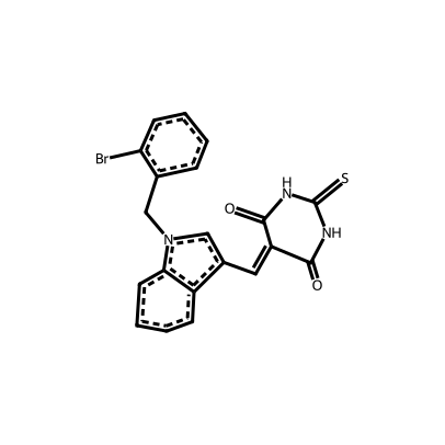 O=C1NC(=S)NC(=O)C1=Cc1cn(Cc2ccccc2Br)c2ccccc12